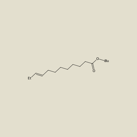 CC/C=C/CCCCCCCC(=O)OC(C)CC